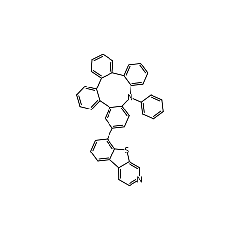 c1ccc(-n2c3ccccc3c3ccccc3c3ccccc3c3cc(-c4cccc5c4sc4cnccc45)ccc32)cc1